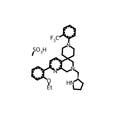 CCOc1ccccc1-c1ccc2c(n1)CN(C[C@H]1CCCN1)CC21CCN(c2ccccc2C(F)(F)F)CC1.CS(=O)(=O)O